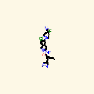 CCC1C(C(=O)Nc2cc3cc(N4CCC(F)(C#N)CC4)c(Cl)cc3cn2)C1c1cnn(C)c1